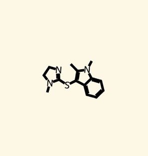 Cc1c(SC2=NCCN2C)c2ccccc2n1C